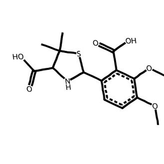 COc1ccc(C2NC(C(=O)O)C(C)(C)S2)c(C(=O)O)c1OC